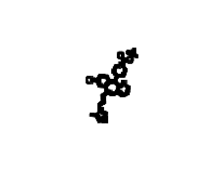 Cc1cncn1CCCC1=Cc2cccnc2C(C2CCN(C(=O)OC(C)(C)C)CC2)c2ccc(Cl)cc21